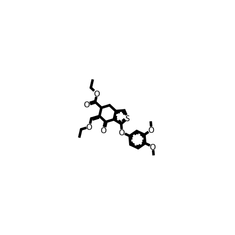 CCOC=C1C(=O)c2c(csc2Oc2ccc(OC)c(OC)c2)CC1C(=O)OCC